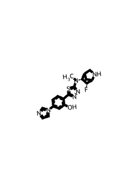 CN(c1nnc(-c2ccc(-n3ccnc3)cc2O)s1)[C@@H]1C2CNC(C2)[C@@H]1F